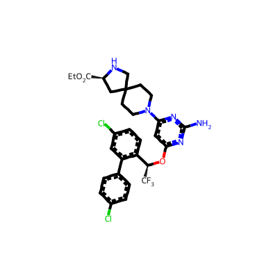 CCOC(=O)[C@@H]1CC2(CCN(c3cc(O[C@H](c4ccc(Cl)cc4-c4ccc(Cl)cc4)C(F)(F)F)nc(N)n3)CC2)CN1